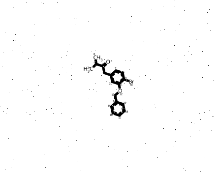 CC(C)C(=O)Cc1ccc(Br)c(OCc2ccccc2)c1